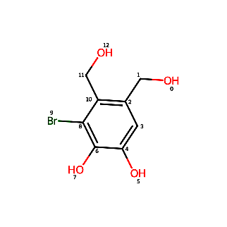 OCc1cc(O)c(O)c(Br)c1CO